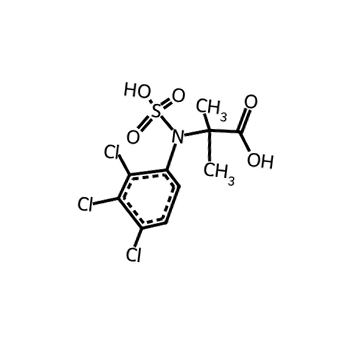 CC(C)(C(=O)O)N(c1ccc(Cl)c(Cl)c1Cl)S(=O)(=O)O